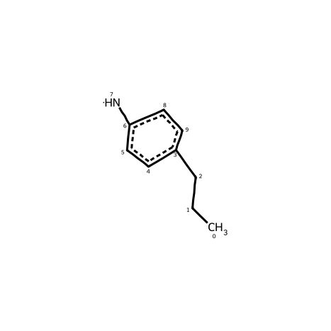 CCCc1ccc([NH])cc1